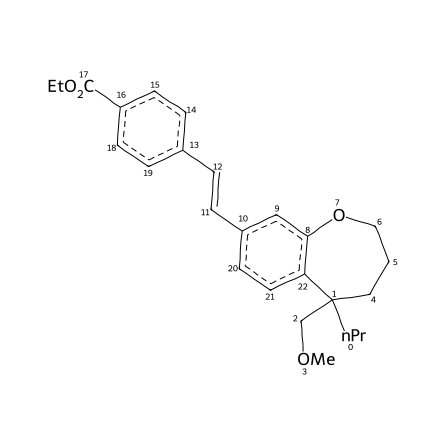 CCCC1(COC)CCCOc2cc(C=Cc3ccc(C(=O)OCC)cc3)ccc21